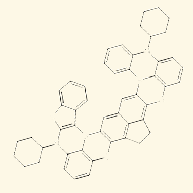 c1ccc2c(c1)B1c3cc4cc5c(c6c4c(c3Oc3cccc(c31)N2C1CCCCC1)CC6)Oc1cccc2c1B5c1c(sc3ccccc13)N2C1CCCCC1